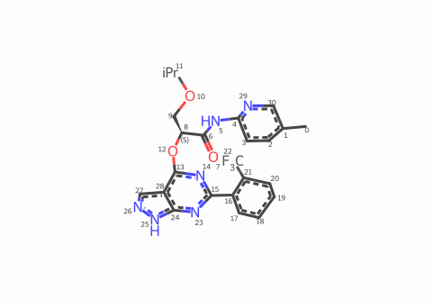 Cc1ccc(NC(=O)[C@H](COC(C)C)Oc2nc(-c3ccccc3C(F)(F)F)nc3[nH]ncc23)nc1